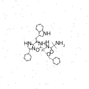 CC(C)(N)C(=O)N[C@H](COCc1ccccc1)C(=O)N[C@H](Cc1c[nH]c2ccccc12)c1nc(-c2ccccc2)c[nH]1